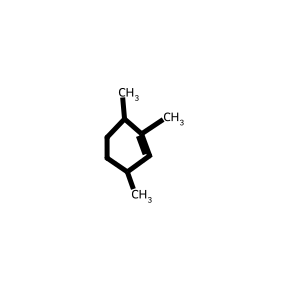 CC1=CC(C)CCC1C